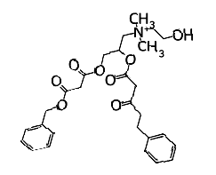 C[N+](C)(CCO)CC(COC(=O)CC(=O)OCc1ccccc1)OC(=O)CC(=O)CCc1ccccc1